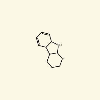 [C]1CCCC2C1NC1C=CC=CC12